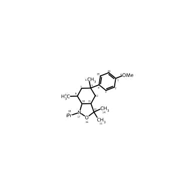 COc1ccc(C2(C)CC(C)C3C(C2)C(C)(C)ON3C(C)C)cc1